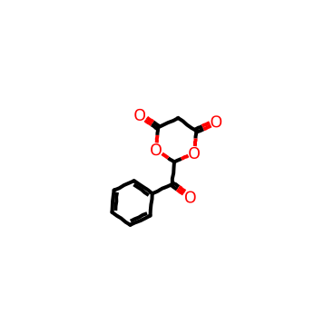 O=C1CC(=O)OC(C(=O)c2ccccc2)O1